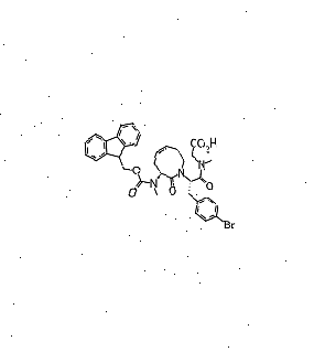 CN(CC(=O)O)C(=O)[C@H](Cc1ccc(Br)cc1)N1CCC=CC[C@H](N(C)C(=O)OCC2c3ccccc3-c3ccccc32)C1=O